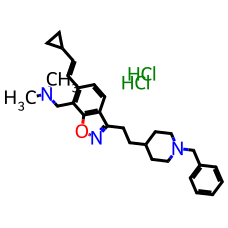 CN(C)Cc1c(C=CC2CC2)ccc2c(CCC3CCN(Cc4ccccc4)CC3)noc12.Cl.Cl